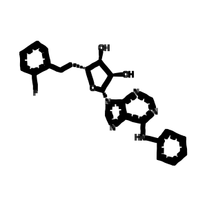 O[C@@H]1[C@H](O)[C@@H](CCc2ccccc2F)O[C@H]1n1cnc2c(Nc3ccccc3)ncnc21